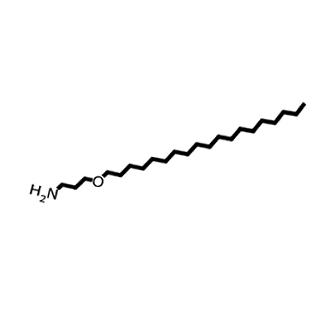 CCCCCCCCCCCCCCCCCCCOCCCN